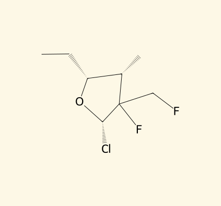 CC[C@H]1O[C@@H](Cl)C(F)(CF)[C@H]1C